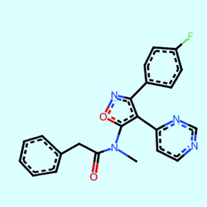 CN(C(=O)Cc1ccccc1)c1onc(-c2ccc(F)cc2)c1-c1ccncn1